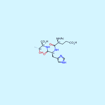 CC(=O)N[C@@H](CCC(=O)O)C(=O)N[C@@H](Cc1c[nH]cn1)C(=O)N[C@H](C(=O)O)[C@@H](C)O